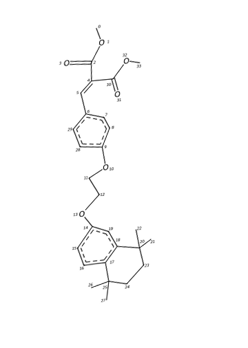 COC(=O)C(=Cc1ccc(OCCOc2ccc3c(c2)C(C)(C)CCC3(C)C)cc1)C(=O)OC